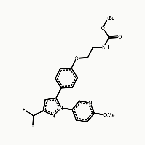 COc1ccc(-n2nc(C(F)F)cc2-c2ccc(OCCNC(=O)OC(C)(C)C)cc2)cn1